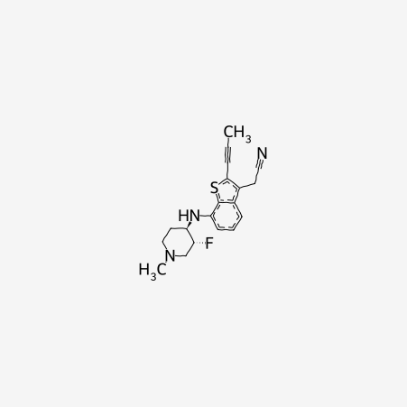 CC#Cc1sc2c(N[C@@H]3CCN(C)C[C@H]3F)cccc2c1CC#N